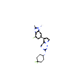 Cc1nc2c(F)cc(-c3ccn4nc(NC5CCC(F)(F)CC5)ncc34)cc2n1C(C)C